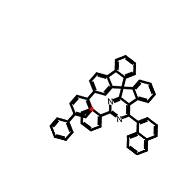 c1ccc(-c2ccc(-c3ccc4c(c3)C3(c5ccccc5-4)c4ccccc4-c4c(-c5cccc6ccccc56)nc(-c5ccccc5)nc43)cc2)cc1